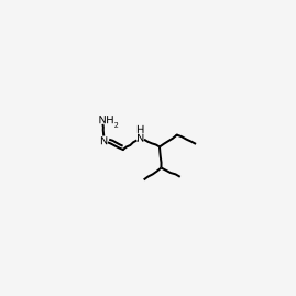 CCC(N/C=N\N)C(C)C